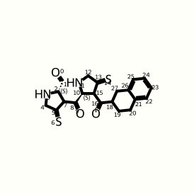 O=C[C@H]1NCC(=S)C1C(=O)[C@H]1NCC(=S)C1C(=O)C1CCc2ccccc2C1